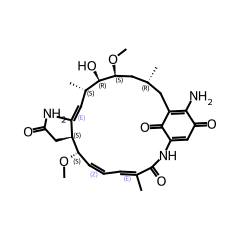 CO[C@H]1/C=C\C=C(/C)C(=O)NC2=CC(=O)C(N)=C(C[C@@H](C)C[C@H](OC)[C@H](O)[C@@H](C)/C=C(\C)[C@@H]1CC(N)=O)C2=O